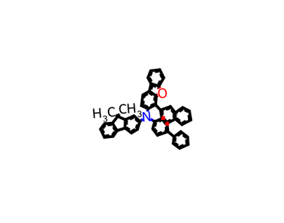 CC1(C)c2ccccc2-c2ccc(N(c3ccc(-c4ccccc4)cc3)c3ccc4c(oc5ccccc54)c3-c3ccc4ccccc4c3)cc21